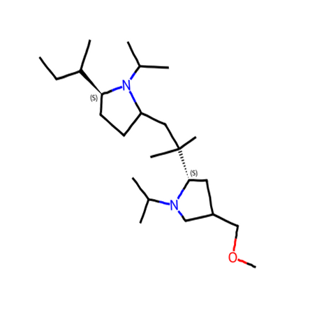 CCC(C)[C@@H]1CCC(CC(C)(C)[C@@H]2CC(COC)CN2C(C)C)N1C(C)C